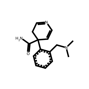 CN(C)Cc1ccccc1C1(C(N)=O)C=CN=CC1